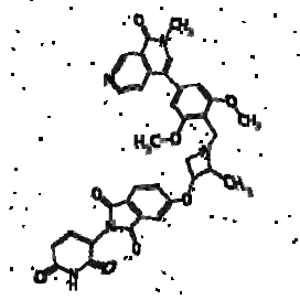 COc1cc(-c2cn(C)c(=O)c3cnccc23)cc(OC)c1CN1CC(Oc2ccc3c(c2)C(=O)N(C2CCC(=O)NC2=O)C3=O)C1C